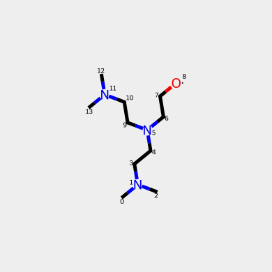 CN(C)CCN(CC[O])CCN(C)C